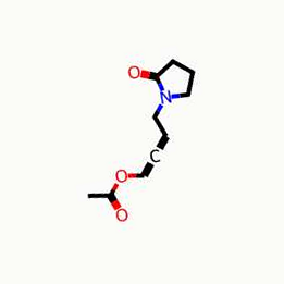 CC(=O)OC=C=CCN1CCCC1=O